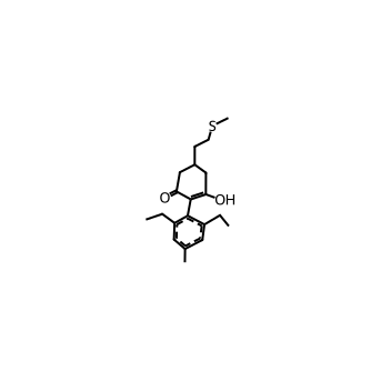 CCc1cc(C)cc(CC)c1C1=C(O)CC(CCSC)CC1=O